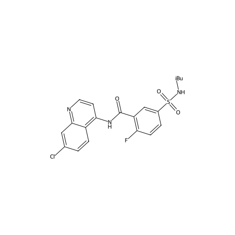 CCC(C)NS(=O)(=O)c1ccc(F)c(C(=O)Nc2ccnc3cc(Cl)ccc23)c1